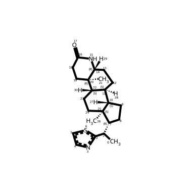 CC(c1nccs1)[C@H]1CC[C@H]2[C@@H]3CC[C@H]4NC(=O)CC[C@]4(C)[C@H]3CC[C@]12C